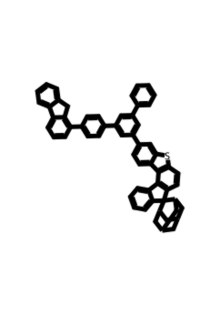 c1ccc(-c2cc(-c3ccc(-c4cccc5c4Cc4ccccc4-5)cc3)cc(-c3ccc4c(c3)sc3ccc5c(c34)-c3ccccc3C53C4CC5CC(C4)CC3C5)c2)cc1